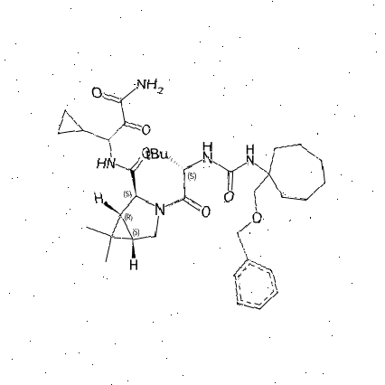 CC(C)(C)[C@H](NC(=O)NC1(COCc2ccccc2)CCCCCC1)C(=O)N1C[C@H]2[C@@H]([C@H]1C(=O)NC(C(=O)C(N)=O)C1CC1)C2(C)C